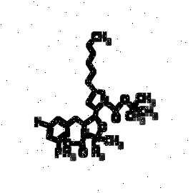 CCCCCC[C@@H]1C[C@H]([C@H]2OC(C)(C)N(C(C)=O)[C@H]2Cc2cc(F)cc(F)c2)N(C(=O)OC(C)(C)C)C1